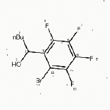 CCCCC(O)c1c(F)c(F)c(F)c(F)c1Br